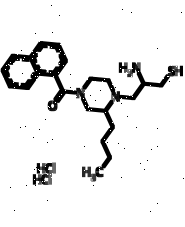 CCCCC1CN(C(=O)c2cccc3ccccc23)CCN1CC(N)CS.Cl.Cl